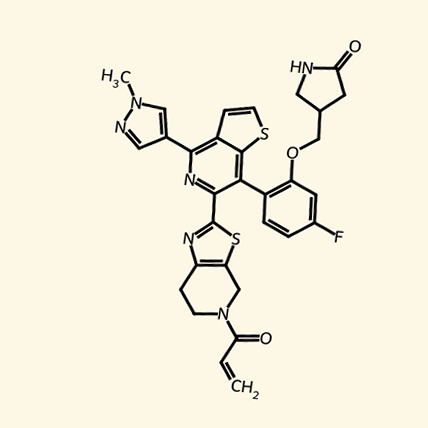 C=CC(=O)N1CCc2nc(-c3nc(-c4cnn(C)c4)c4ccsc4c3-c3ccc(F)cc3OCC3CNC(=O)C3)sc2C1